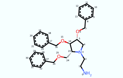 NCCN1C[C@@H](OCc2ccccc2)[C@H](OCc2ccccc2)[C@H]1COCc1ccccc1